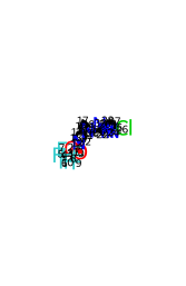 O=C(OC(C(F)(F)F)C(F)(F)F)N1CCC2(CCCN2Cc2cn3nc(Cl)ccc3n2)CC1